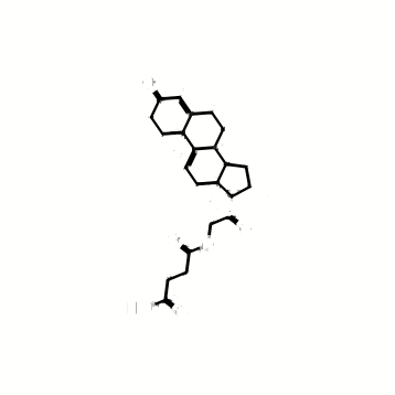 C[C@H]1CC2C3CCC4=CC(=O)CC[C@]4(C)C3=CC[C@]2(C)[C@H]1C(=O)COC(=O)CCC(=O)O